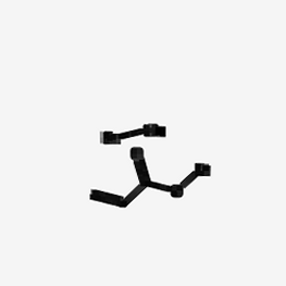 C=CC(=O)OCC.C[C](C)(C)[Sn]